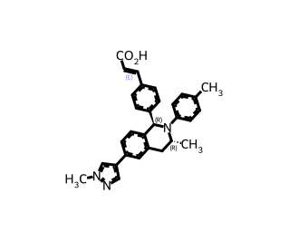 Cc1ccc(N2[C@H](c3ccc(/C=C/C(=O)O)cc3)c3ccc(-c4cnn(C)c4)cc3C[C@H]2C)cc1